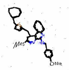 COc1ccc(CNc2nc3ccccc3c3c2N=C(SC)CC3Cc2ccc(CC3CCCCCC3)s2)cc1